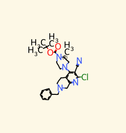 C[C@@H]1CN(c2c(C#N)c(Cl)nc3c2CCN(Cc2ccccc2)C3)CCN1C(=O)OC(C)(C)C